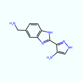 NCc1ccc2[nH]c(-c3n[nH]cc3N)nc2c1